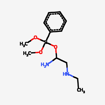 CCNCC(N)O[Si](OC)(OC)c1ccccc1